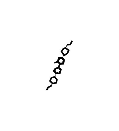 CCC[C@H]1CC[C@H](c2ccc(-c3ccc([C@H]4CC[C@H](CCC)CC4)cc3C)cc2)CC1